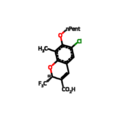 CCCCCOc1c(Cl)cc2c(c1C)O[C@H](C(F)(F)F)C(C(=O)O)=C2